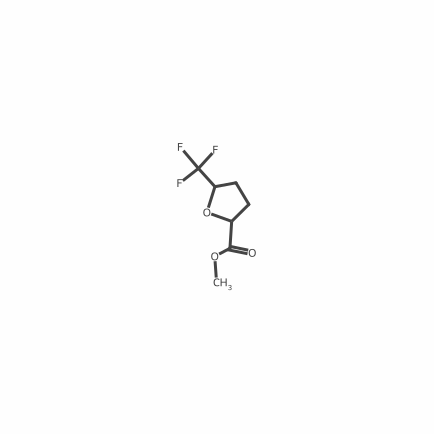 COC(=O)C1CCC(C(F)(F)F)O1